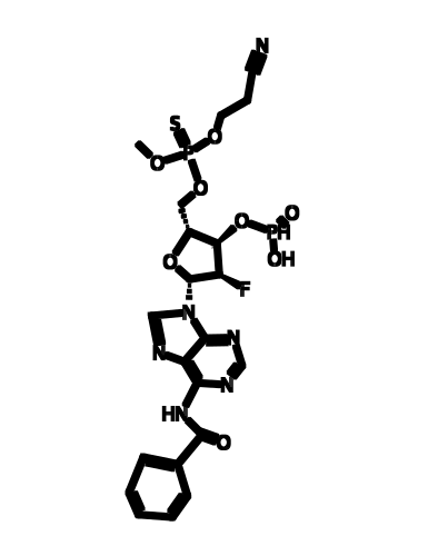 COP(=S)(OCCC#N)OC[C@H]1O[C@@H](n2cnc3c(NC(=O)c4ccccc4)ncnc32)[C@H](F)[C@@H]1O[PH](=O)O